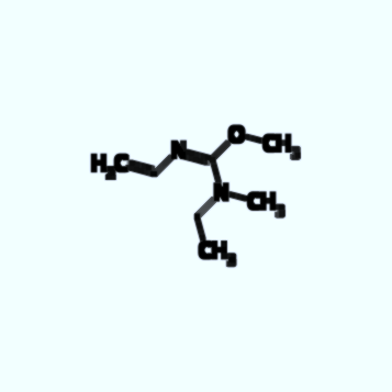 C=C/N=C(/OC)N(C)CC